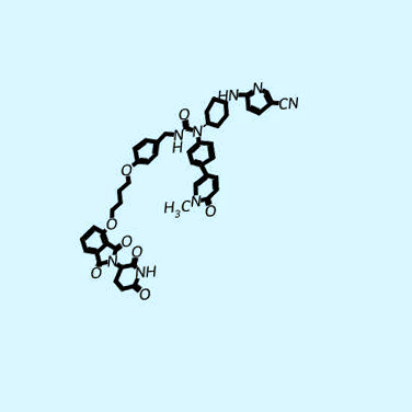 Cn1cc(-c2ccc(N(C(=O)NCc3ccc(OCCCCOc4cccc5c4C(=O)N(C4CCC(=O)NC4=O)C5=O)cc3)[C@H]3CC[C@H](Nc4ccc(C#N)cn4)CC3)cc2)ccc1=O